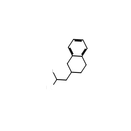 CC(I)CC1CCc2ccccc2C1